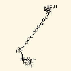 CCCN(OCC)C(=O)C1=Cc2c(cnn2CCCCCNC(=O)OCCOCCOCCOCCOCCOCCOCCOCCOCCOCCOCCC(=O)Oc2c(F)c(F)c(S(=O)(=O)O)c(F)c2F)N=C(N)C1